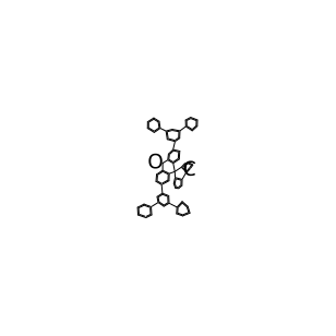 O=C1c2cc(-c3cc(-c4ccccc4)cc(-c4ccccc4)c3)ccc2C2(c3cc(-c4cc(-c5ccccc5)cc(-c5ccccc5)c4)ccc31)c1ccccc1-c1ccccc12